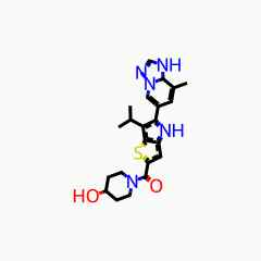 CC1=CC(c2[nH]c3cc(C(=O)N4CCC(O)CC4)sc3c2C(C)C)=CN2N=CNC12